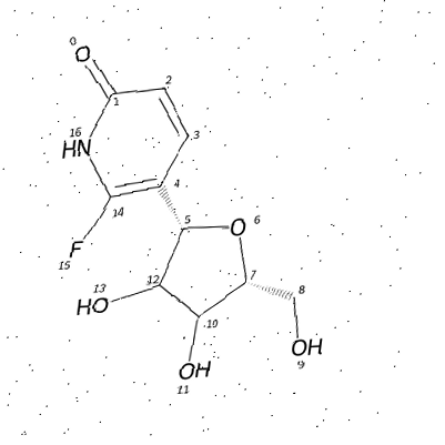 O=c1ccc([C@@H]2O[C@H](CO)C(O)C2O)c(F)[nH]1